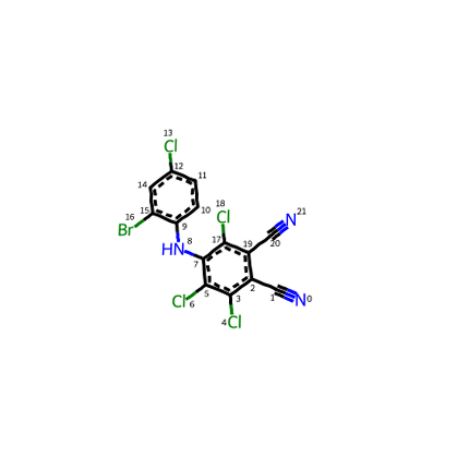 N#Cc1c(Cl)c(Cl)c(Nc2ccc(Cl)cc2Br)c(Cl)c1C#N